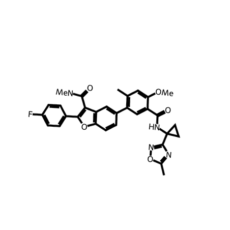 CNC(=O)c1c(-c2ccc(F)cc2)oc2ccc(-c3cc(C(=O)NC4(c5noc(C)n5)CC4)c(OC)cc3C)cc12